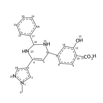 Cn1cc(C2=CC(c3ccc(C(=O)O)c(O)c3)NC(c3ccccc3)N2)cn1